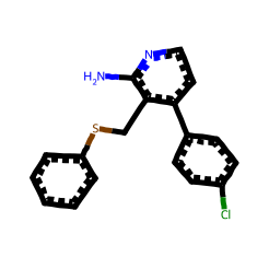 Nc1nccc(-c2ccc(Cl)cc2)c1CSc1ccccc1